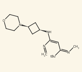 C=N/C(=C\C(=N/C)C(C)(C)C)N[C@H]1C[C@@H](N2CCOCC2)C1